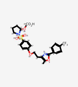 Cc1oc(-c2ccc(C(F)(F)F)cc2)nc1CCOc1ccc(S(=O)(=O)N2CCC[C@H]2OC(=O)O)cc1